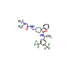 CC(NC(=O)C1(c2ccccc2)CCC(CNC(=O)CN(C)C)CC1)c1cc(C(F)(F)F)cc(C(F)(F)F)c1